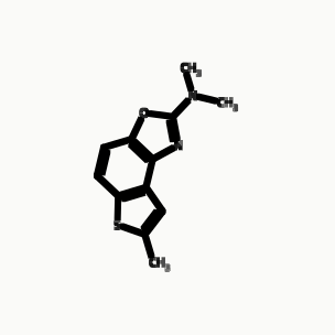 Cc1cc2c(ccc3oc(N(C)C)nc32)s1